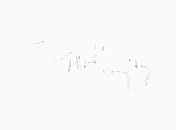 CCCCNC(=O)Oc1cccn1C